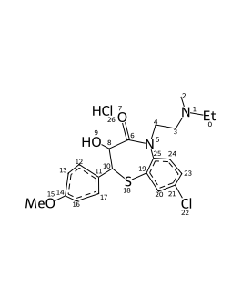 CCN(C)CCN1C(=O)C(O)C(c2ccc(OC)cc2)Sc2cc(Cl)ccc21.Cl